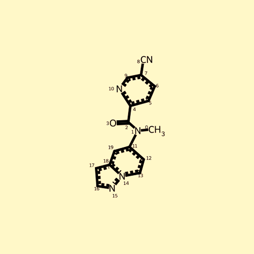 CN(C(=O)c1ccc(C#N)cn1)c1ccn2nccc2c1